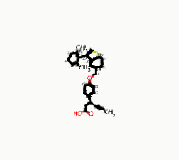 CC#CC(CC(=O)O)c1ccc(OCc2ccc3scc(-c4c(C)cccc4C)c3c2)cc1